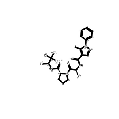 Cc1c(C(=O)N[C@H](C(=O)N2CCC[C@H]2C(=O)NC(C(C)C)C(O)(O)C(F)(F)F)C(C)C)cnn1-c1ccccc1